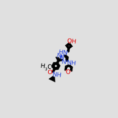 Cc1cc(-c2cnn3c(NCC4CC(O)C4)cc(NC4CCOCC4)nc23)ccc1C(=O)NC1CC1